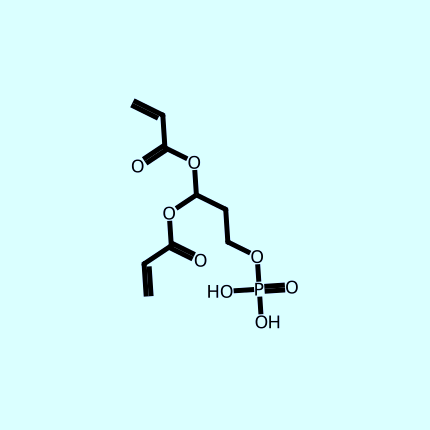 C=CC(=O)OC(CCOP(=O)(O)O)OC(=O)C=C